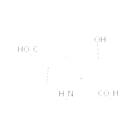 CC(CC(N)(CO)C(=O)O)C(=O)O